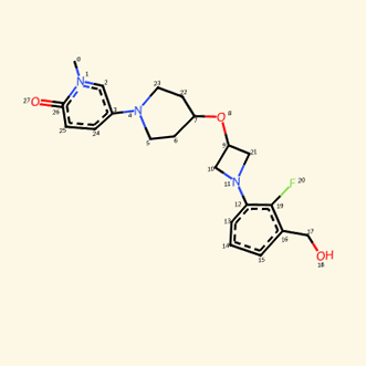 Cn1cc(N2CCC(OC3CN(c4cccc(CO)c4F)C3)CC2)ccc1=O